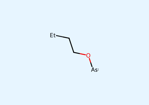 CCCCO[As]